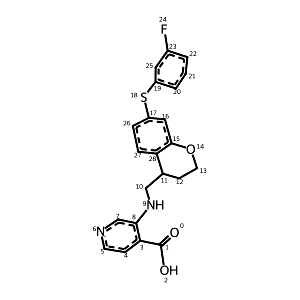 O=C(O)c1ccncc1NCC1CCOc2cc(Sc3cccc(F)c3)ccc21